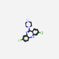 ClC1=CC2Nc3ccc(Cl)cc3N=C(N3CCNCC3)C2C=C1